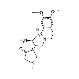 COc1cc2c(cc1OC)[C@@H]1CC(N)C(N3C[C@H](C)CC3=O)CN1CC2